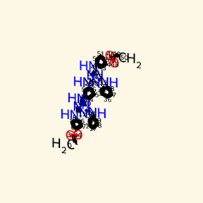 C=CC(=O)Oc1ccc(Nc2nc(Nc3ccccc3)nc(Nc3cccc(Nc4nc(Nc5ccccc5)nc(Nc5ccc(OC(=O)C=C)cc5)n4)c3)n2)cc1